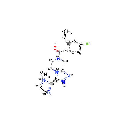 C=Cc1cc(F)ccc1C(=O)N1CCn2c(nnc2-c2nccn2C)C1